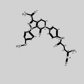 COc1ccc(-n2nc(C(N)=O)c3c2C(=O)N(c2ccc(NC(=O)CCC(N)=C=O)cc2)CC3)cc1